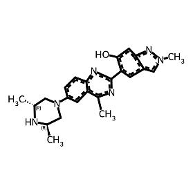 Cc1nc(-c2cc3cn(C)nc3cc2O)nc2ccc(N3C[C@@H](C)N[C@H](C)C3)cc12